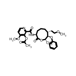 COCC[C@H]1CCC[C@H](NC(=O)c2nccc(OC)c2OC(C)=O)C(=O)O[C@@H](C)[C@@H]1Oc1ccccc1